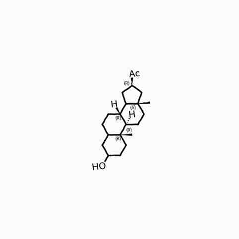 CC(=O)[C@@H]1CC2[C@H]3CCC4CC(O)CC[C@@]4(C)[C@@H]3CC[C@@]2(C)C1